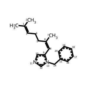 CC(C)=CCCC(C)=Cc1cncn1Cc1ccccc1